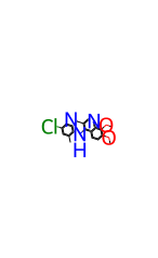 COc1ccc2c(Nc3ccc(Cl)cc3C)c(C#N)cnc2c1OC